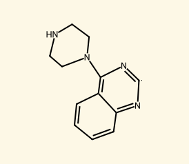 [c]1nc(N2CCNCC2)c2ccccc2n1